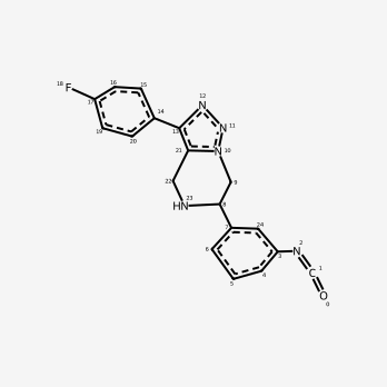 O=C=Nc1cccc(C2Cn3nnc(-c4ccc(F)cc4)c3CN2)c1